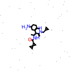 C=C(NCC1CC1)/C(C1=C(C)CC[C@H](N)C1)=C(/C)NC(=O)C1CC12CC2